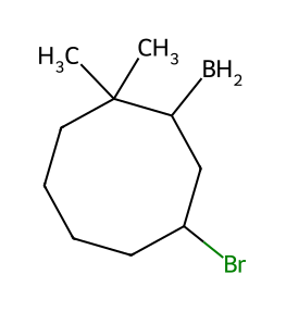 BC1CC(Br)CCCCC1(C)C